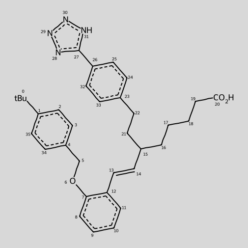 CC(C)(C)c1ccc(COc2ccccc2/C=C/C(CCCCC(=O)O)CCc2ccc(-c3nnn[nH]3)cc2)cc1